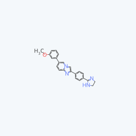 COc1cccc(-c2ccc3nc(-c4ccc(C5=NCCN5)cc4)cn3c2)c1